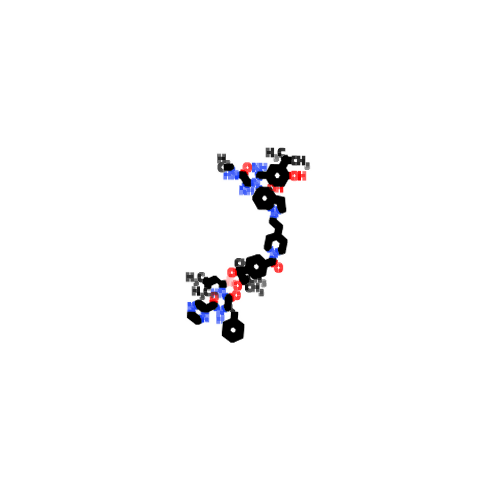 CCNC(=O)C(=N)N(C(=N)c1cc(C(C)C)c(O)cc1O)c1ccc2c(ccn2CCC2CCN(C(=O)c3ccc(C4(C)OB([C@H](CC(C)C)NC(=O)[C@H](Cc5ccccc5)NC(=O)c5cnccn5)OC4(C)C)cc3)CC2)c1